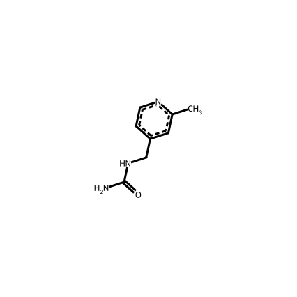 Cc1cc(CNC(N)=O)ccn1